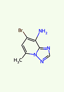 Cc1cc(Br)c(N)c2ncnn12